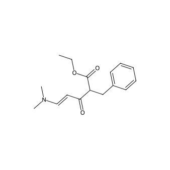 CCOC(=O)C(Cc1ccccc1)C(=O)/C=C/N(C)C